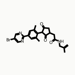 C=C(C)CNC(=O)CC1CC(=O)C(c2c(C)cc(-c3ncc(Br)cn3)cc2C)C1=O